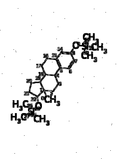 CC12CCC3c4ccc(O[Si](C)(C)C)cc4CCC3C1CCC2O[Si](C)(C)C